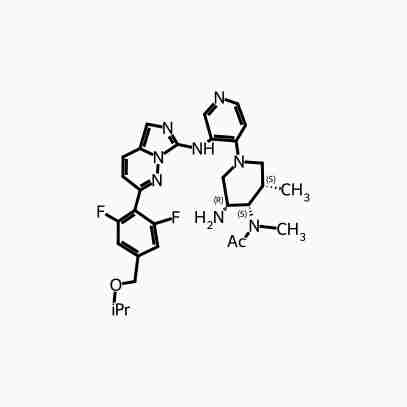 CC(=O)N(C)[C@@H]1[C@H](N)CN(c2ccncc2Nc2ncc3ccc(-c4c(F)cc(COC(C)C)cc4F)nn23)C[C@@H]1C